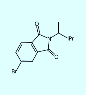 CC(C)C(C)N1C(=O)c2ccc(Br)cc2C1=O